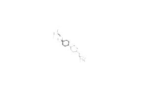 FC(F)=COc1ccc(C2CCC(CCBr)CC2)cc1